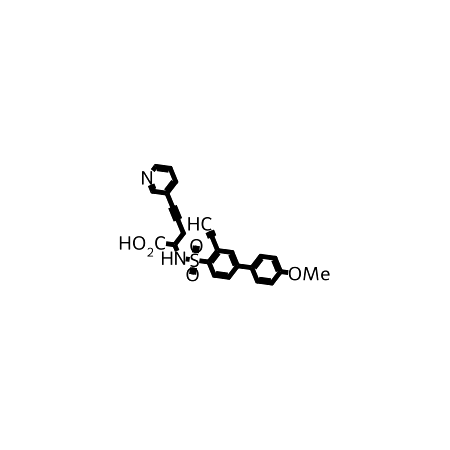 C#Cc1cc(-c2ccc(OC)cc2)ccc1S(=O)(=O)NC(CC#Cc1cccnc1)C(=O)O